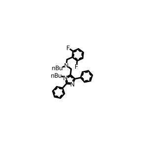 CCCCN(Cc1c(F)cccc1F)Cc1c(-c2ccccc2)nc(-c2ccccc2)n1CCCC